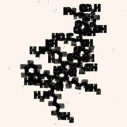 CC(C)C[C@H](NC(=O)[C@@H](NC(=O)[C@H](CC(=O)O)NC(=O)[C@H](C)NC(=O)[C@H](CO)NC(=O)[C@H](CCCNC(=N)N)NC(=O)[C@H](CCCCN)NC(=O)[C@H](Cc1c[nH]c2ccccc12)NC(=O)[C@@H](N)CCCCN)[C@@H](C)O)C(=O)O